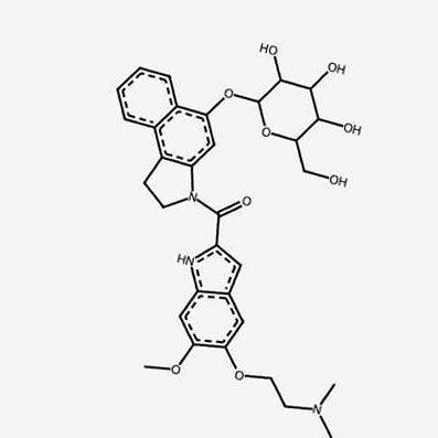 COc1cc2[nH]c(C(=O)N3CCc4c3cc(OC3OC(CO)C(O)C(O)C3O)c3ccccc43)cc2cc1OCCN(C)C